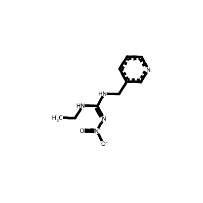 CCNC(=N[N+](=O)[O-])NCc1cccnc1